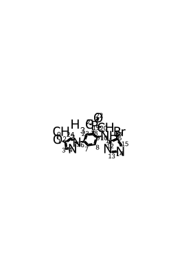 COc1cnn(-c2ccc(Nc3ncncc3Br)c(P(C)(C)=O)c2)c1